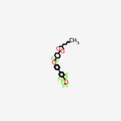 C/C=C/CCC1COC(C2CCC(C(F)(F)Oc3ccc(-c4cc(F)c(C(F)(F)OC(F)(F)F)c(F)c4)cc3)CC2)OC1